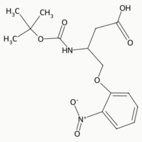 CC(C)(C)OC(=O)NC(COc1ccccc1[N+](=O)[O-])CC(=O)O